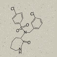 O=C1NCCCCC1N(Cc1cccc(Cl)c1)S(=O)(=O)c1ccc(Cl)cc1